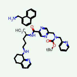 CC(C)(C)OC(=O)N(Cc1ccccn1)Cc1cnc(C(=O)N[C@@H](CCCNC2CCCc3cccnc32)C(=O)O)cn1.NCc1cccc2ccccc12